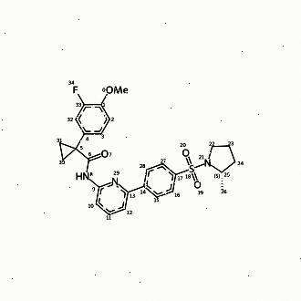 COc1ccc(C2(C(=O)Nc3cccc(-c4ccc(S(=O)(=O)N5CCC[C@@H]5C)cc4)n3)CC2)cc1F